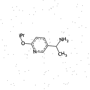 CC(C)Oc1ccc(C(C)N)cn1